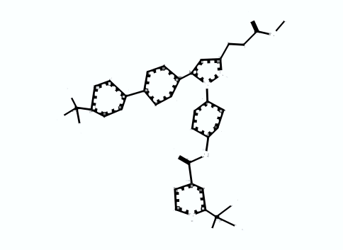 CNC(=O)CCc1cc(-c2ccc(-c3ccc(C(F)(F)F)cc3)cc2)n(-c2ccc(NC(=O)c3ccnc(C(F)(F)F)c3)cc2)n1